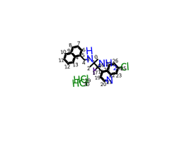 CC(C)(NCc1cccc2ccccc12)C(N)(I)c1ccnc2cc(Cl)ccc12.Cl.Cl